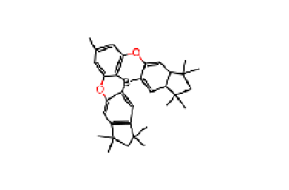 Cc1cc2c3c(c1)Oc1cc4c(cc1B3C1=CC3C(C=C1O2)C(C)(C)CC3(C)C)C(C)(C)CC4(C)C